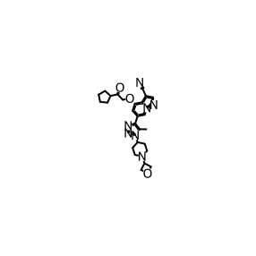 Cc1c(-c2cc(OCC(=O)C3CCCC3)c3c(C#N)cnn3c2)nnn1C1CCN(C2COC2)CC1